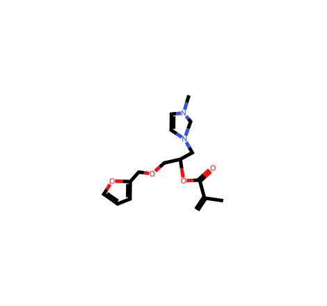 C=C(C)C(=O)OC(COCc1ccco1)CN1C=CN(C)C1